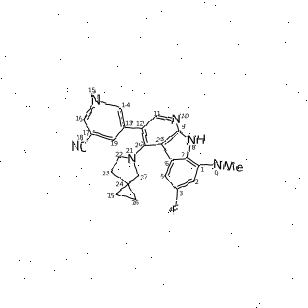 CNc1cc(F)cc2c1[nH]c1ncc(-c3cncc(C#N)c3)c(N3CCC4(CC4)C3)c12